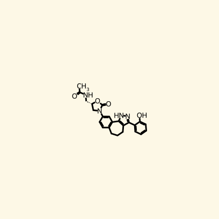 CC(=O)NC[C@H]1CN(c2ccc3c(c2)-c2[nH]nc(-c4ccccc4O)c2CCC3)C(=O)O1